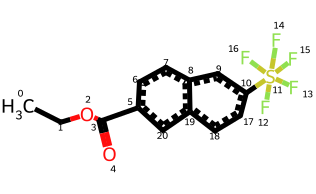 CCOC(=O)c1ccc2cc(S(F)(F)(F)(F)F)ccc2c1